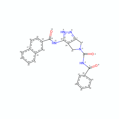 O=C(NC(=O)N1Cc2n[nH]c(NC(=O)c3ccc4ccccc4c3)c2C1)c1ccccc1